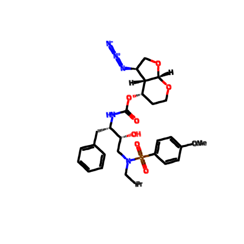 COc1ccc(S(=O)(=O)N(CC(C)C)C[C@@H](O)[C@H](Cc2ccccc2)NC(=O)O[C@H]2CCO[C@H]3OC[C@H](N=[N+]=[N-])[C@H]32)cc1